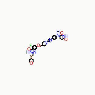 O=C1CCC(Nc2ccc(N3CC(N4CCC(COc5cc(F)c6c(=O)[nH]c(CSC7CCOCC7)nc6c5)CC4)C3)cc2)C(=O)N1